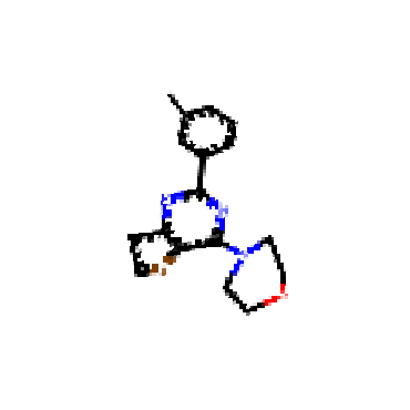 Cc1cccc(-c2nc(N3CCOCC3)c3sccc3n2)c1